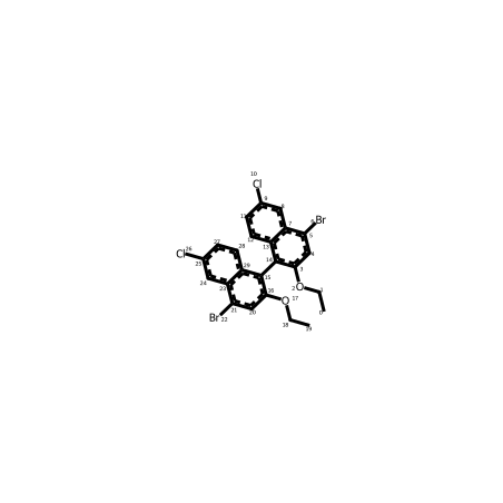 CCOc1cc(Br)c2cc(Cl)ccc2c1-c1c(OCC)cc(Br)c2cc(Cl)ccc12